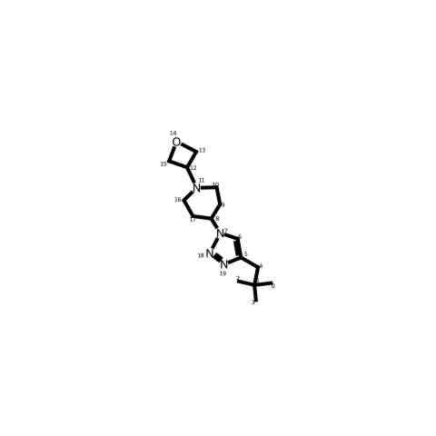 CC(C)(C)Cc1cn(C2CCN(C3COC3)CC2)nn1